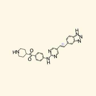 O=S(=O)(c1ccc(Nc2ncc(/C=C/c3ccc4[nH]nnc4c3)cn2)cc1)C1CCNCC1